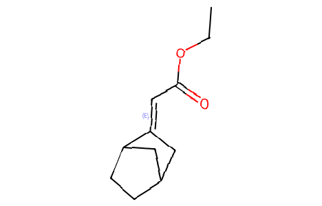 CCOC(=O)/C=C1\CC2CCC1C2